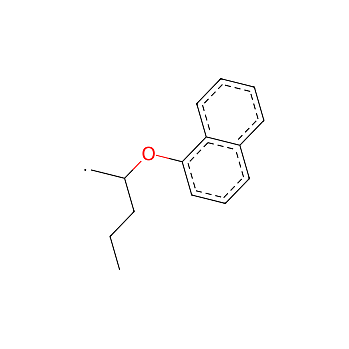 [CH2]C(CCC)Oc1cccc2ccccc12